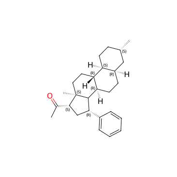 CC(=O)[C@H]1C[C@@H](c2ccccc2)C2[C@@H]3CC[C@@H]4C[C@@H](C)CC[C@@H]4[C@H]3CC[C@@]21C